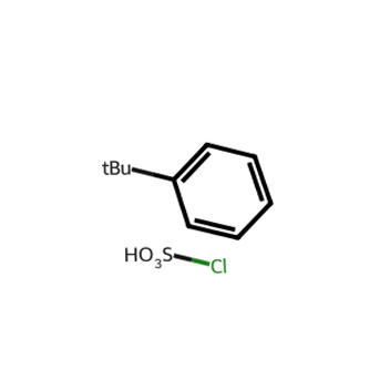 CC(C)(C)c1ccccc1.O=S(=O)(O)Cl